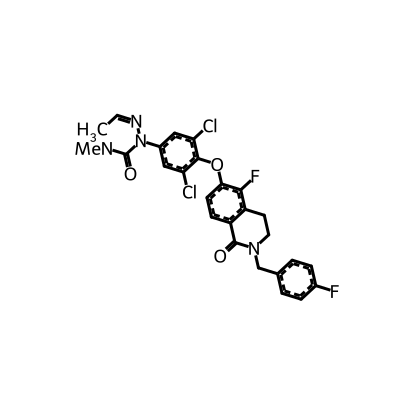 C/C=N\N(C(=O)NC)c1cc(Cl)c(Oc2ccc3c(c2F)CCN(Cc2ccc(F)cc2)C3=O)c(Cl)c1